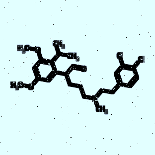 COc1cc(OC)c(C(C)C)c(C(C=O)CCCN(C)CCc2ccc(Cl)c(Cl)c2)c1